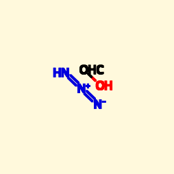 O=CO.[N-]=[N+]=N